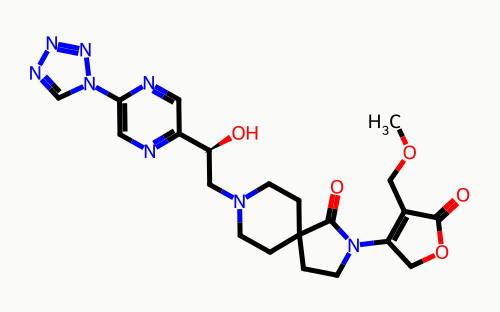 COCC1=C(N2CCC3(CCN(C[C@H](O)c4cnc(-n5cnnn5)cn4)CC3)C2=O)COC1=O